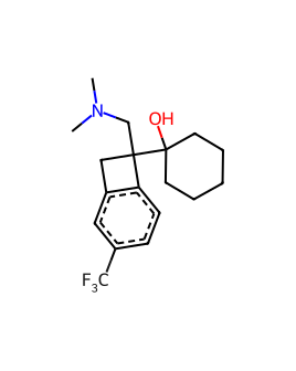 CN(C)CC1(C2(O)CCCCC2)Cc2cc(C(F)(F)F)ccc21